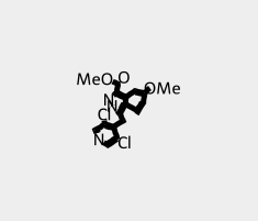 COC(=O)c1nnc(Cc2c(Cl)cncc2Cl)c2ccc(OC)cc12